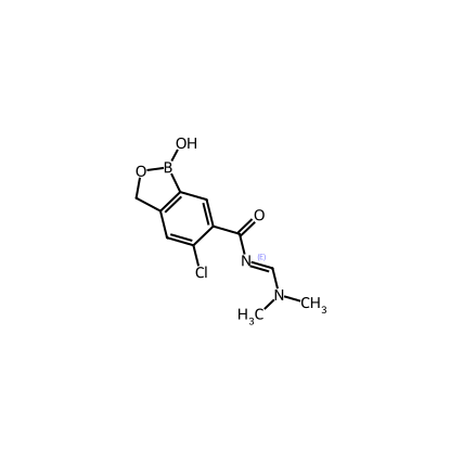 CN(C)/C=N/C(=O)c1cc2c(cc1Cl)COB2O